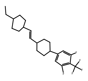 CCC1CCC(/C=C/C2CCC(c3cc(F)c(C(F)(F)F)c(F)c3)CC2)CC1